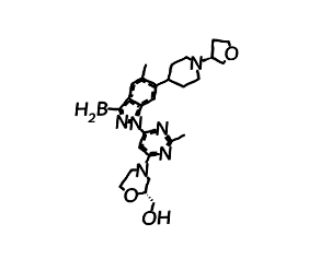 Bc1nn(-c2cc(N3CCO[C@@H](CO)C3)nc(C)n2)c2cc(C3CCN([C@H]4CCOC4)CC3)c(C)cc12